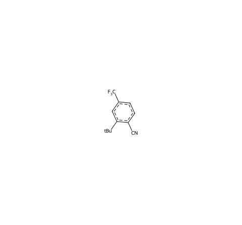 CC(C)(C)c1cc(C(F)(F)F)ccc1C#N